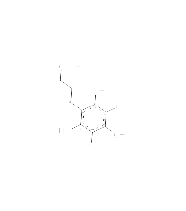 Cc1c(C)c(O)c(CCCC(=O)O)c(C)c1O